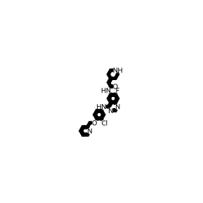 O=C(C=C1CCNCC1)Nc1cc2c(Nc3ccc(OCc4ccccn4)c(Cl)c3)ncnc2cc1F